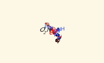 O=C(NS(=O)(=O)c1cnc(NC[C@H]2CC[C@@H](N=S3(=O)CCC3)CC2)c([N+](=O)[O-])c1)c1ccc(N2CCC3(CC2)CC(N2CCC[C@@H]2c2ccccc2C2CC2)C3)cc1Oc1cnc2[nH]ccc2c1